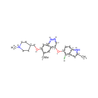 COc1cc2c(Oc3ccc4[nH]c(C)cc4c3F)cnnc2cc1OCC1CCN(C)CC1